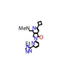 CCn1cnnc1-c1cccc(N2Cc3c(cc(C4CCC4)nc3CNC)C2=O)n1